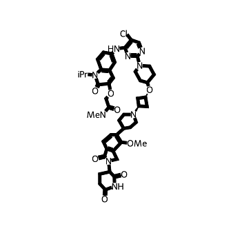 CNC(=O)COc1cc2cc(Nc3nc(N4CCC(O[C@H]5C[C@H](N6CCC(c7ccc8c(c7OC)CN(C7CCC(=O)NC7=O)C8=O)CC6)C5)CC4)ncc3Cl)ccc2n(C(C)C)c1=O